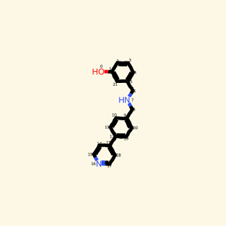 Oc1cccc(CNCc2ccc(-c3ccncc3)cc2)c1